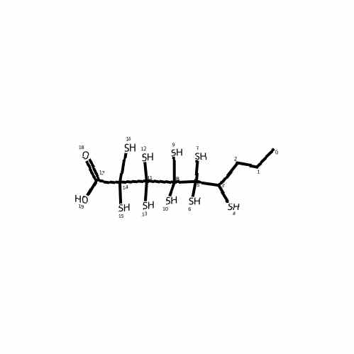 CCCC(S)C(S)(S)C(S)(S)C(S)(S)C(S)(S)C(=O)O